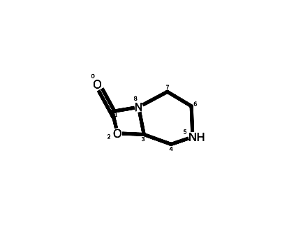 O=C1OC2CNCCN12